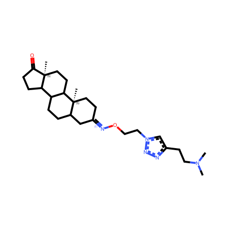 CN(C)CCc1cn(CCO/N=C2\CC[C@@]3(C)C(CCC4C3CC[C@]3(C)C(=O)CCC43)C2)nn1